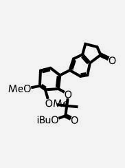 COc1ccc(-c2ccc3c(c2)CCC3=O)c(OC(C)(C)C(=O)OCC(C)C)c1OC